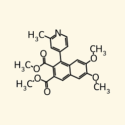 COC(=O)c1cc2cc(OC)c(OC)cc2c(-c2ccnc(C)c2)c1C(=O)OC